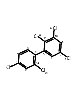 Clc1ccc(-c2cc(Cl)cc(Cl)c2Cl)c(Cl)c1